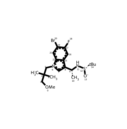 COCC(C)(C)Cn1cc([C@@H](C)N[S@@+]([O-])C(C)(C)C)c2cc(F)c(Br)cc21